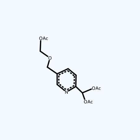 CC(=O)OCOCc1ccc(C(OC(C)=O)OC(C)=O)nc1